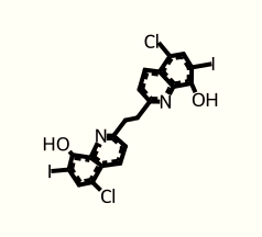 Oc1c(I)cc(Cl)c2ccc(CCc3ccc4c(Cl)cc(I)c(O)c4n3)nc12